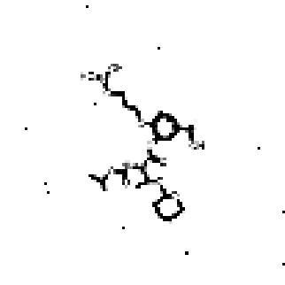 CC(C)OC(=O)NC(C(=O)Oc1cc(C(=O)O)ccc1OCCCON(O)O)C(C)OC1CCCCO1